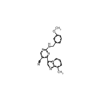 COc1cccc(CNc2ncc(C#N)c(-c3cnc4c(C)cccn34)n2)c1